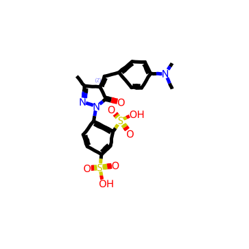 CC1=NN(c2ccc(S(=O)(=O)O)cc2S(=O)(=O)O)C(=O)/C1=C\c1ccc(N(C)C)cc1